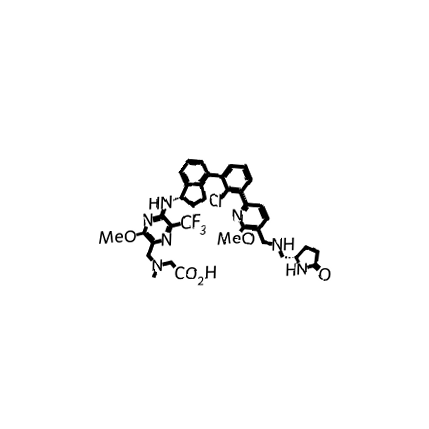 COc1nc(-c2cccc(-c3cccc4c3CC[C@@H]4Nc3nc(OC)c(CN(C)CC(=O)O)nc3C(F)(F)F)c2Cl)ccc1CNC[C@@H]1CCC(=O)N1